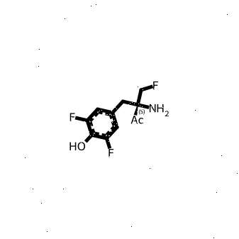 CC(=O)[C@](N)(CF)Cc1cc(F)c(O)c(F)c1